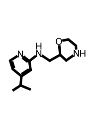 CC(C)c1ccnc(NCC2CNCCO2)c1